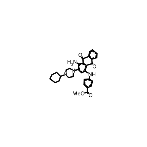 COC(=O)c1ccc(Nc2cc(N3CCN(C4CCCCC4)CC3)c(N)c3c2C(=O)c2ccccc2C3=O)cc1